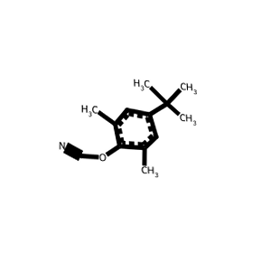 Cc1cc(C(C)(C)C)cc(C)c1OC#N